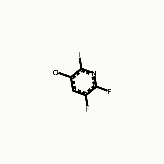 Fc1cc(Cl)c(I)nc1F